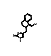 [C-]#[N+]/C=C1\c2ccccc2CCC1Cc1c[nH]c(=S)[nH]1